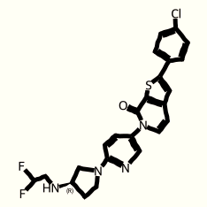 O=c1c2sc(-c3ccc(Cl)cc3)cc2ccn1-c1ccc(N2CC[C@@H](NCC(F)F)C2)nc1